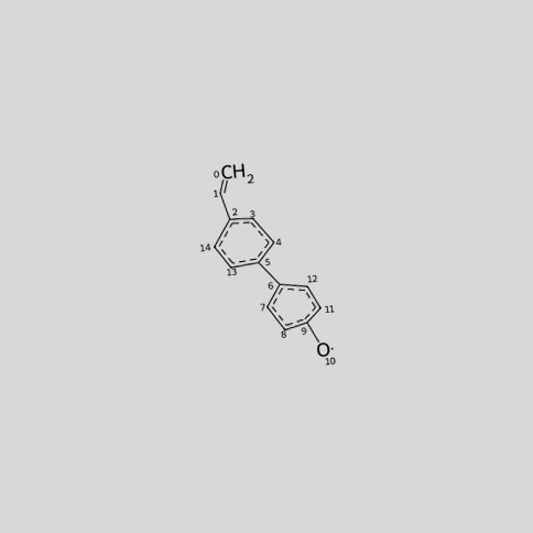 C=Cc1ccc(-c2ccc([O])cc2)cc1